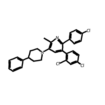 Cc1nc(-c2ccc(Cl)cc2)c(-c2ccc(Cl)cc2Cl)cc1N1CCC(c2ccccc2)CC1